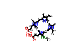 CCC1=C(C)c2cc3[nH]c(cc4nc(cc5[nH]c(cc1n2)c(C)c5CC)C(C)=C4CCC(=O)O)c(CCC(=O)O)c3C.Cl.[Cr]